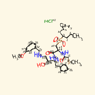 CCCC(CCC)S(=O)(=O)CC(NC(=O)CSC)C(=O)N[C@@H](Cc1ccccc1)[C@H](O)CNCc1cccc(OC)c1.Cl